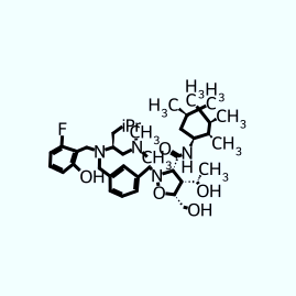 CC(C)C[C@@H](CN(C)C)N(Cc1cccc(CN2O[C@@H](CO)[C@@H]([C@H](C)O)[C@H]2C(=O)N[C@H]2C[C@@H](C)C(C)(C)[C@@H](C)[C@@H]2C)c1)Cc1c(O)cccc1F